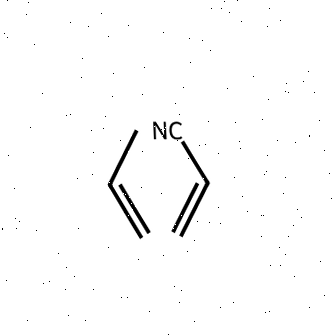 C=CC.C=CC#N